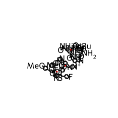 COc1ccc(COC(=O)[C@@H](Cc2ccccc2OCc2ccnc(-c3ccccc3OC)n2)Oc2ncnc3sc(-c4ccc(F)cc4)c(-c4ccc(OCCN5CC[N+](C)(Cc6ccc(NC(=O)[C@H](CCCNC(N)=O)NC(=O)[C@@H](NC(=O)OC(C)(C)C)C(C)C)cc6CN(C)C(=O)OC[C@H](N)C(=O)OC(C)(C)C)CC5)c(Cl)c4C)c23)cc1